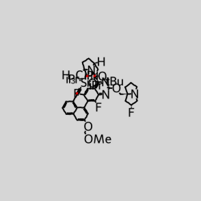 COCOc1cc(-c2c(F)cc3c(N4C[C@H]5CC[C@@](C)(C4)N5C(=O)OC(C)(C)C)nc(OC[C@@]45CCCN4C[C@H](F)C5)nc3c2F)c2c(C#C[Si](C(C)C)(C(C)C)C(C)C)cccc2c1